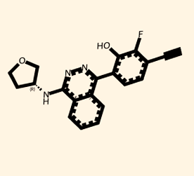 C#Cc1ccc(-c2nnc(N[C@@H]3CCOC3)c3ccccc23)c(O)c1F